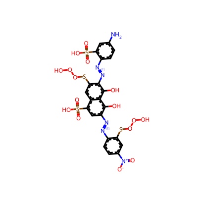 Nc1ccc(/N=N/c2c(SOOO)cc3c(S(=O)(=O)O)cc(/N=N/c4ccc([N+](=O)[O-])cc4SOOO)c(O)c3c2O)c(S(=O)(=O)O)c1